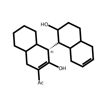 CC(=O)C1=C(O)[C@@H](C2C(O)CCC3CC=CCC32)C2CCCCC2C1